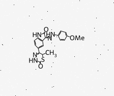 COc1ccc(NN=C2C(=O)Nc3ccc(C4=NNC(=O)SC4C)cc32)cc1